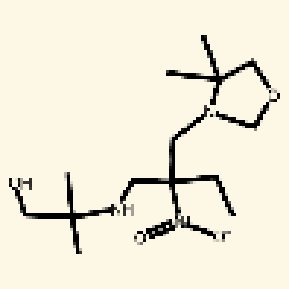 CCC(CNC(C)(C)CO)(CN1COCC1(C)C)[N+](=O)[O-]